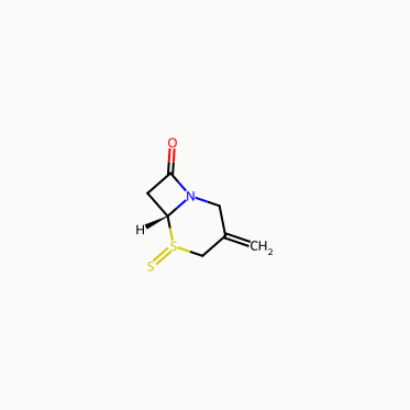 C=C1CN2C(=O)C[C@H]2S(=S)C1